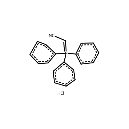 Cl.N#CC=P(c1ccccc1)(c1ccccc1)c1ccccc1